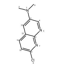 CN(C)c1cnc2nc(Cl)ccc2c1